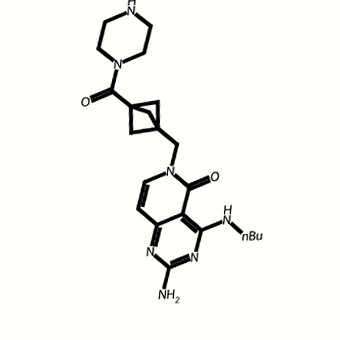 CCCCNc1nc(N)nc2ccn(CC34CC(C(=O)N5CCNCC5)(C3)C4)c(=O)c12